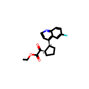 CCOC(=O)C(=O)[C@@H]1CCC[C@@H]1c1ccnc2ccc(F)cc12